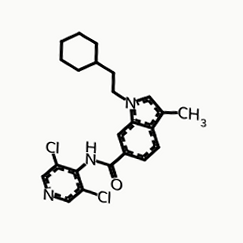 Cc1cn(CCC2CCCCC2)c2cc(C(=O)Nc3c(Cl)cncc3Cl)ccc12